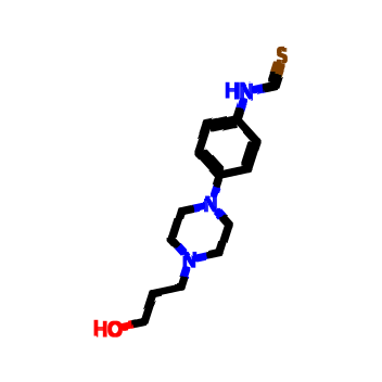 OCCCN1CCN(c2ccc(NC=S)cc2)CC1